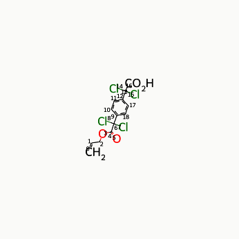 C=CCOC(=O)C(Cl)(Cl)c1ccc(C(Cl)(Cl)C(=O)O)cc1